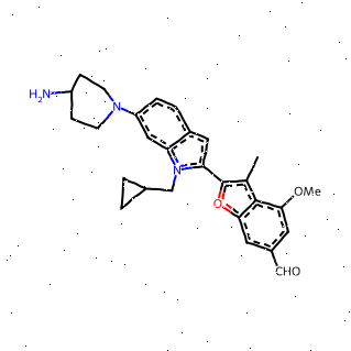 COc1cc(C=O)cc2oc(-c3cc4ccc(N5CCC(N)CC5)cc4n3CC3CC3)c(C)c12